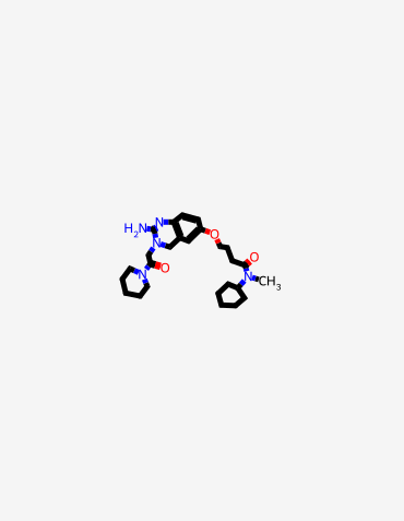 CN(C(=O)CCCOc1ccc2c(c1)CN(CC(=O)N1CCCCC1)C(N)=N2)C1CCCCC1